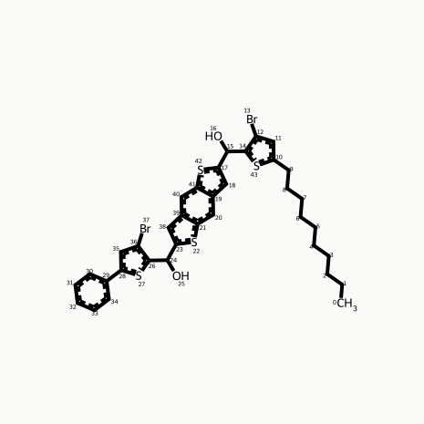 CCCCCCCCCCc1cc(Br)c(C(O)c2cc3cc4sc(C(O)c5sc(-c6ccccc6)cc5Br)cc4cc3s2)s1